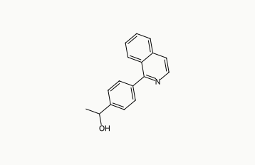 CC(O)c1ccc(-c2nccc3ccccc23)cc1